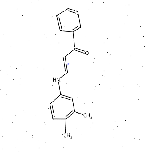 Cc1ccc(N/C=C/C(=O)c2ccccc2)cc1C